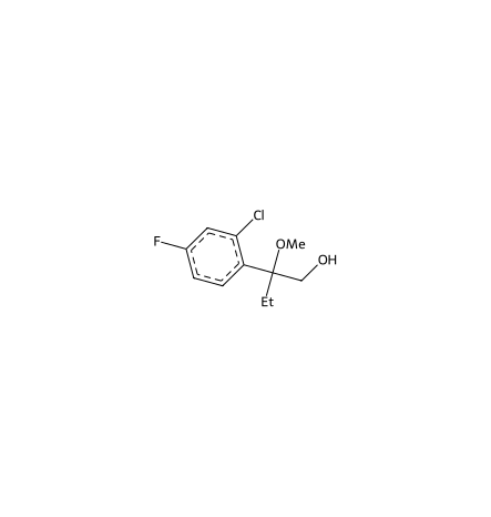 CCC(CO)(OC)c1ccc(F)cc1Cl